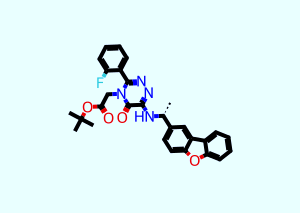 C[C@@H](Nc1nnc(-c2ccccc2F)n(CC(=O)OC(C)(C)C)c1=O)c1ccc2oc3ccccc3c2c1